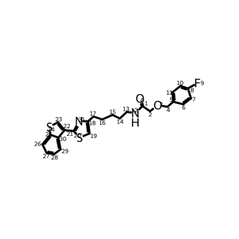 O=C(COCc1ccc(F)cc1)NCCCCCc1csc(-c2csc3ccccc23)n1